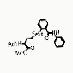 COC(=O)C(CCS[Se]c1ccccc1C(=O)Nc1ccccc1)NC(C)=O